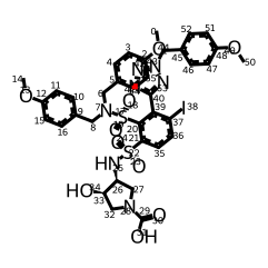 COc1ccc(CN(Cc2ccc(OC)cc2)S(=O)(=O)c2c(S(=O)(=O)N[C@H]3CN(C(=O)O)C[C@H]3O)ccc(I)c2-c2nnn(Cc3ccc(OC)cc3)n2)cc1